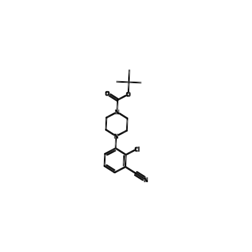 CC(C)(C)OC(=O)N1CCN(c2cccc(C#N)c2Cl)CC1